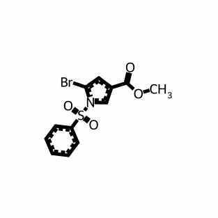 COC(=O)c1cc(Br)n(S(=O)(=O)c2ccccc2)c1